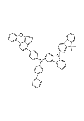 CC1(C)c2ccccc2-c2ccc(-n3c4ccccc4c4cc(N(c5ccc(-c6ccccc6)cc5)c5ccc(-c6ccc7c8c(cccc68)Oc6ccccc6-7)cc5)ccc43)cc21